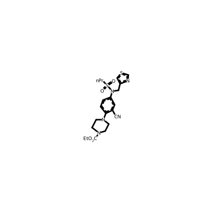 CCCS(=O)(=O)N(Cc1cscn1)c1ccc(N2CCN(C(=O)OCC)CC2)c(C#N)c1